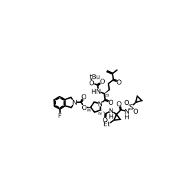 C=C(C)C(=O)CC[C@H](NC(=O)OC(C)(C)C)C(=O)N1C[C@H](OC(=O)N2Cc3cccc(F)c3C2)C[C@H]1C(=O)NC1(C(=O)NS(=O)(=O)C2CC2)CC1CC